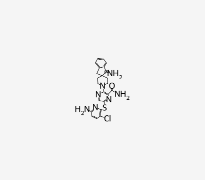 NC(=O)c1nc(Sc2nc(N)ccc2Cl)cnc1N1CCC2(CC1)Cc1ccccc1[C@H]2N